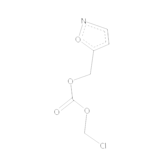 O=C(OCCl)OCc1ccno1